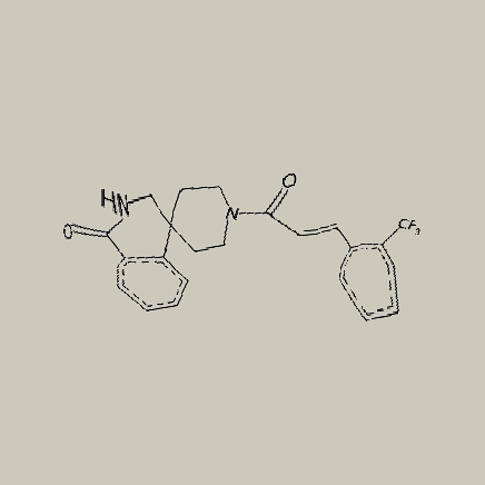 O=C1NCC2(CCN(C(=O)/C=C/c3ccccc3C(F)(F)F)CC2)c2ccccc21